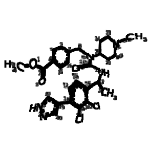 COC(=O)c1ccc(CN(C(=O)NC(C)c2ccc(-c3cn[nH]c3)c(Cl)c2Cl)C2CCN(C)CC2)cc1